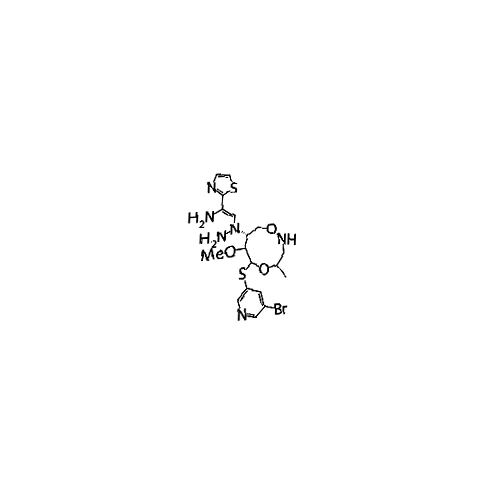 COC1C(Sc2cncc(Br)c2)OC(C)CNOC[C@H]1N(N)/C=C(\N)c1nccs1